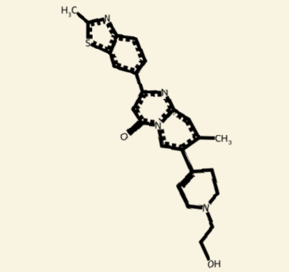 Cc1nc2ccc(-c3cc(=O)n4cc(C5=CCN(CCO)CC5)c(C)cc4n3)cc2s1